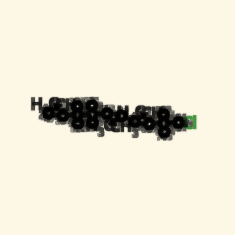 CC1(C)c2cc(-c3ccc4c(c3)C(C)(C)c3cc(-c5c6ccccc6c(-c6c7ccccc7c(-c7ccc8c(c7)C(C)(C)c7ccccc7-8)c7ccccc67)c6ccccc56)ccc3-4)ccc2-c2ccc(-c3c4ccccc4c(-c4ccc(Cl)cc4)c4ccccc34)cc21